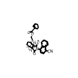 C[C@]12CC[C@](CCOC(=O)c3ccccc3)(O1)[C@@H]1C(=O)N(c3ccc(C#N)c4ccccc34)C(=O)[C@@H]12